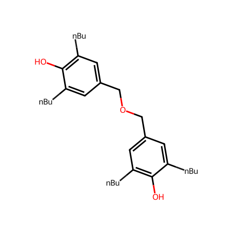 CCCCc1cc(COCc2cc(CCCC)c(O)c(CCCC)c2)cc(CCCC)c1O